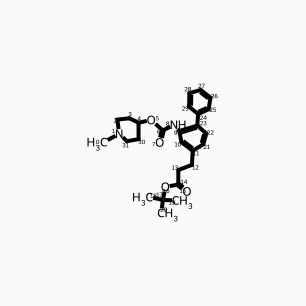 CN1CCC(OC(=O)Nc2cc(CCC(=O)OC(C)(C)C)ccc2-c2ccccc2)CC1